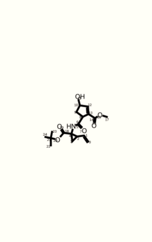 C=CC1CC1(NC(=O)C1CC(O)C=C1C(=O)OC)C(=O)OC(C)(C)C